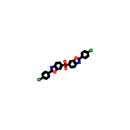 O=S(=O)(c1ccc2nc(-c3ccc(Cl)cc3)oc2c1)c1ccc2nc(-c3ccc(Cl)cc3)oc2c1